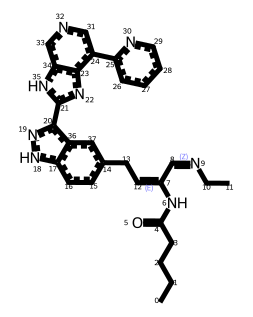 CCCCC(=O)NC(/C=N\CC)=C/Cc1ccc2[nH]nc(-c3nc4c(-c5ccccn5)cncc4[nH]3)c2c1